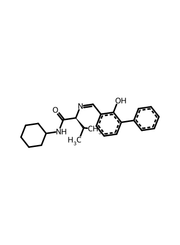 CC(C)[C@H](/N=C\c1cccc(-c2ccccc2)c1O)C(=O)NC1CCCCC1